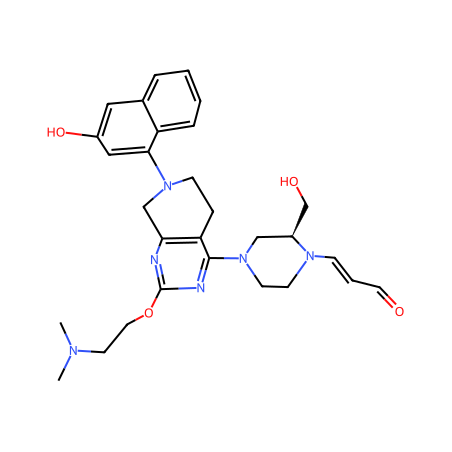 CN(C)CCOc1nc2c(c(N3CCN(C=CC=O)[C@H](CO)C3)n1)CCN(c1cc(O)cc3ccccc13)C2